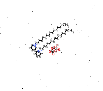 CCCCCCCCCCCCCCCC[n+]1ccccc1.CCCCCCCCCCCCCCCC[n+]1ccccc1.[O]=[Cr](=[O])([O-])[O][Cr](=[O])(=[O])[O-]